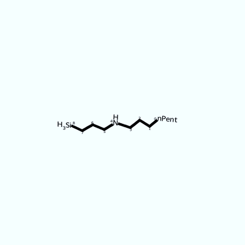 CCCCCCCCNCCC[SiH3]